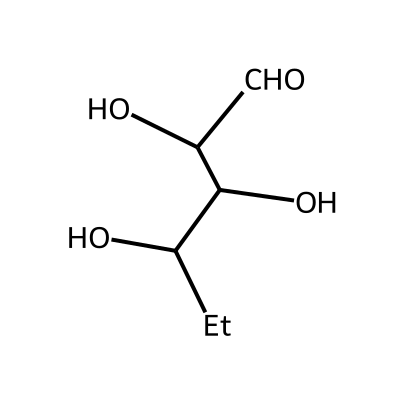 CCC(O)C(O)C(O)C=O